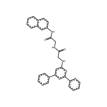 O=C(CNc1cc(-c2cccnc2)nc(-c2ccccn2)n1)NCC(=O)Nc1ccc2ccccc2c1